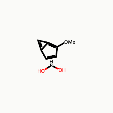 COc1ccc2cc1-2.OBO